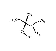 [CH2]C(O)(OCC)N(C)C